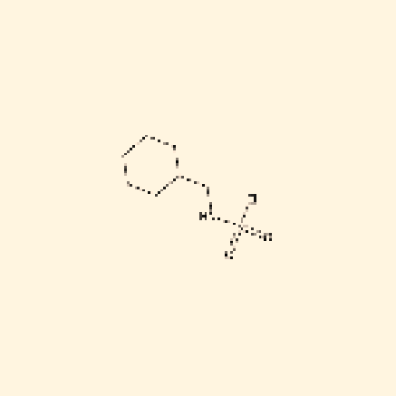 O=S(=O)(Cl)NCC1CCCCC1